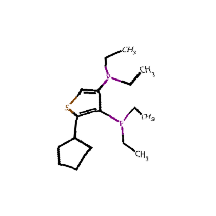 CCP(CC)c1csc(C2CCCC2)c1P(CC)CC